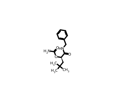 CC(C)(C)C[C@@H](OC(N)=O)C(=O)NCc1ccccc1